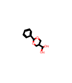 OC(O)C1COC(c2ccccc2)OC1